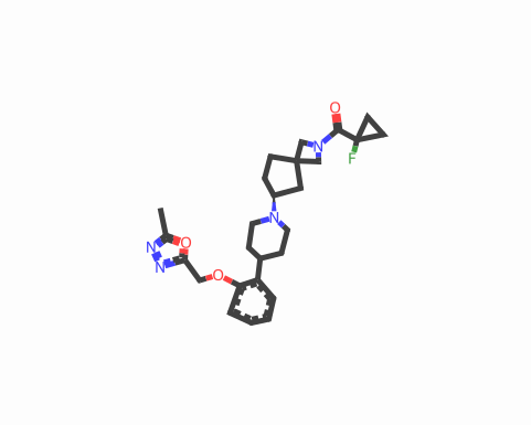 Cc1nnc(COc2ccccc2C2CCN([C@H]3CCC4(C3)CN(C(=O)C3(F)CC3)C4)CC2)o1